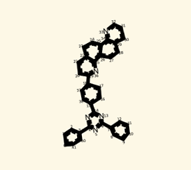 c1ccc(-c2nc(-c3ccccc3)nc(-c3ccc(-c4ccc5ccc6c(ccc7cccnc76)c5n4)cc3)n2)cc1